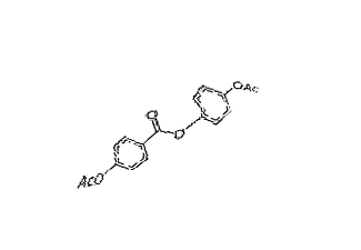 CC(=O)Oc1ccc(OC(=O)c2ccc(OC(C)=O)cc2)cc1